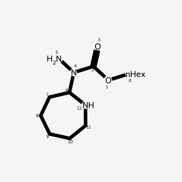 CCCCCCOC(=O)N(N)C1CCCCCN1